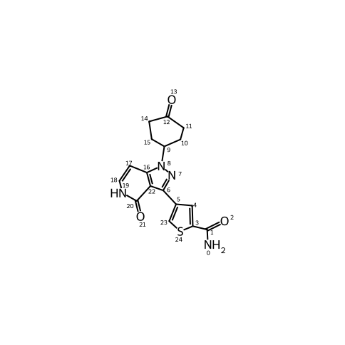 NC(=O)c1cc(-c2nn(C3CCC(=O)CC3)c3cc[nH]c(=O)c23)cs1